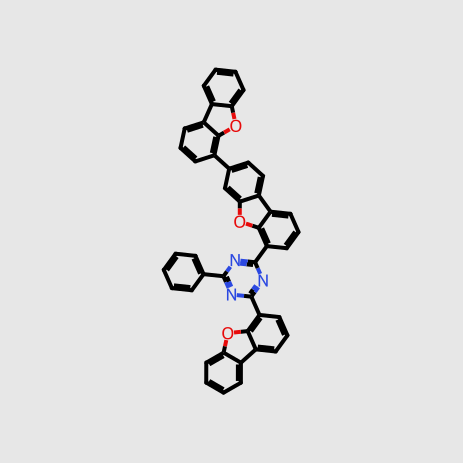 c1ccc(-c2nc(-c3cccc4c3oc3ccccc34)nc(-c3cccc4c3oc3cc(-c5cccc6c5oc5ccccc56)ccc34)n2)cc1